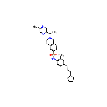 Cc1cc(CCCC2CCCC2)ccc1NS(=O)(=O)c1ccc2c(c1)CCN(C(C)c1cnc(C(C)(C)C)cn1)C2